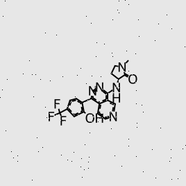 CN1CC[C@H](Nc2nnc(-c3ccc(C(F)(F)F)cc3O)c3ccncc23)C1=O